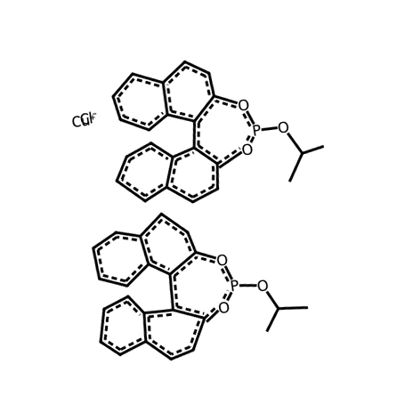 CC(C)Op1oc2ccc3ccccc3c2c2c(ccc3ccccc32)o1.CC(C)Op1oc2ccc3ccccc3c2c2c(ccc3ccccc32)o1.[Cl-].[Cu+]